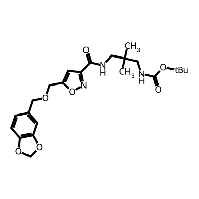 CC(C)(CNC(=O)OC(C)(C)C)CNC(=O)c1cc(COCc2ccc3c(c2)OCO3)on1